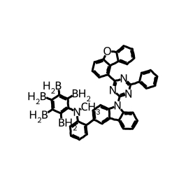 Bc1c(B)c(B)c(N(C)c2ccccc2-c2ccc3c(c2)c2ccccc2n3-c2nc(-c3ccccc3)nc(-c3cccc4oc5ccccc5c34)n2)c(B)c1B